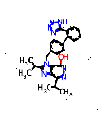 CC(C)c1nnc(O)c2c1nc(C(C)C)n2Cc1ccc(-c2ccccc2-c2nnn[nH]2)cc1